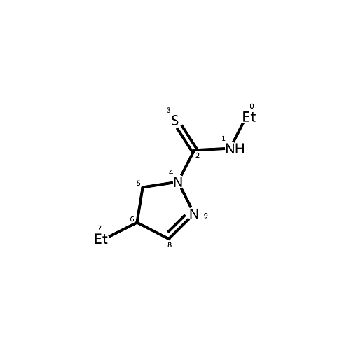 CCNC(=S)N1CC(CC)C=N1